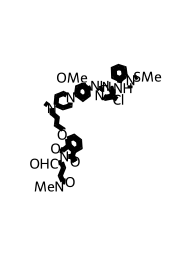 CNC(=O)CCC(C=O)N1C(=O)c2cccc(OCCCCN(C)C3CCN(c4ccc(Nc5ncc(Cl)c(Nc6ccccc6N(C)SC)n5)c(OC)c4)CC3)c2C1=O